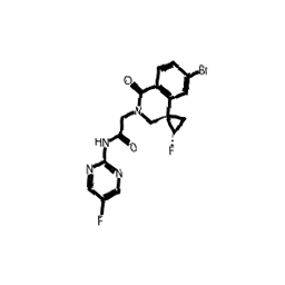 O=C(CN1C[C@]2(C[C@@H]2F)c2cc(Br)ccc2C1=O)Nc1ncc(F)cn1